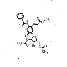 COC(=O)C=Cc1cn([C@@H]2O[C@H](COC(C)=O)[C@H](Br)[C@H]2OC(C)=O)c(=O)nc1NC(=O)c1ccccc1